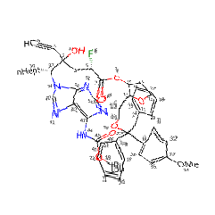 C#CC(O)(C[C@H](F)C(=O)OC1CCOC1COC(c1ccccc1)(c1ccccc1)c1ccc(OC)cc1)[C@@H](CCCCCCC)n1cnc2c(NC(=O)OC(C)(C)C)ncnc21